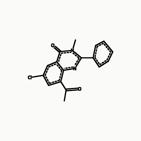 CC(=O)c1cc(Cl)cc2c(=O)n(C)c(-c3ccccc3)nc12